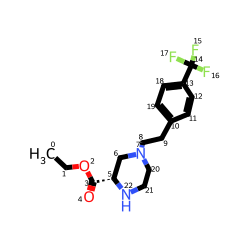 CCOC(=O)[C@@H]1CN(CCc2ccc(C(F)(F)F)cc2)CCN1